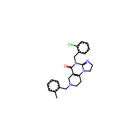 Cc1ccccc1CN1CCC2=C(C1)C(=O)N(Cc1ccccc1Cl)C1=NCCN12